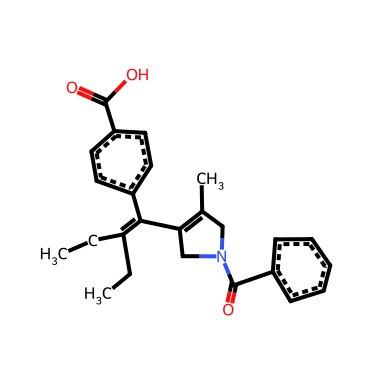 CCC(CC)=C(C1=C(C)CN(C(=O)c2ccccc2)C1)c1ccc(C(=O)O)cc1